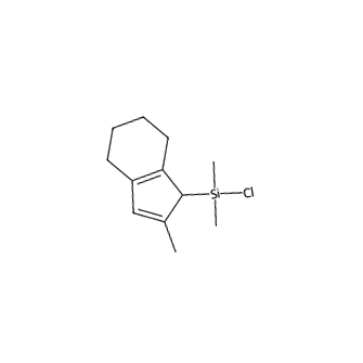 CC1=CC2=C(CCCC2)C1[Si](C)(C)Cl